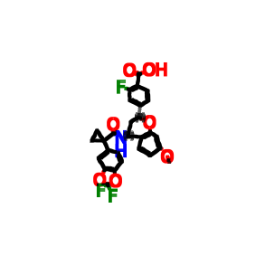 COc1ccc2c(c1)O[C@@H](c1ccc(C(=O)O)c(F)c1)C[C@H]2NC(=O)C1(c2ccc3c(c2)OC(F)(F)O3)CC1